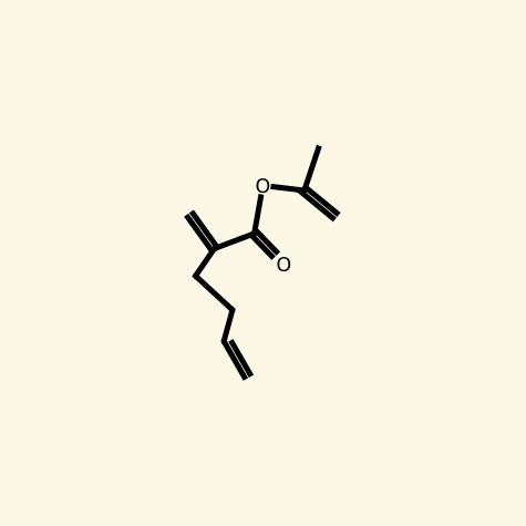 C=CCCC(=C)C(=O)OC(=C)C